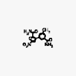 Cc1cc(C(N)=O)cc(-c2cc([N+](=O)[O-])oc2C(N)=O)c1